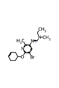 CCN(C)/C=N/c1cc(Br)c(OC2CC=CCC2)nc1C